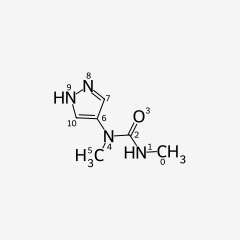 CNC(=O)N(C)c1cn[nH]c1